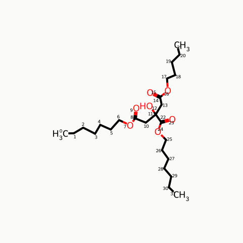 CCCCCCCOC(=O)CC(O)(CC(=O)OCCCCC)C(=O)OCCCCCCC